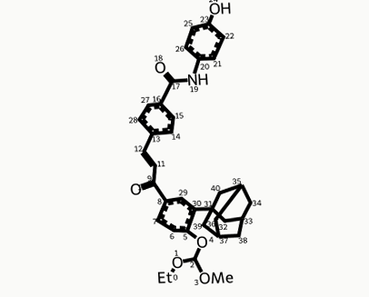 CCOC(OC)Oc1ccc(C(=O)/C=C/c2ccc(C(=O)Nc3ccc(O)cc3)cc2)cc1C12CC3CC(CC(C3)C1)C2